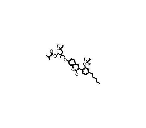 C=C(C)C(=O)OCC(C)(COc1ccc2cc(-c3ccc(CCCCC)cc3OC(F)(F)F)c(=O)oc2c1)CC(F)(F)F